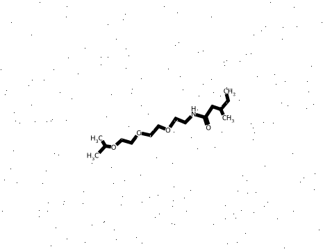 CCC(C)CC(=O)NCCOCCOCCOC(C)C